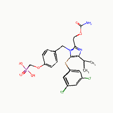 CC(C)c1nc(COC(N)=O)n(Cc2ccc(OCP(=O)(O)O)cc2)c1Sc1cc(Cl)cc(Cl)c1